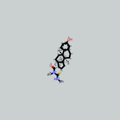 CC(C)NC(=S)N(C(=O)[C@H]1CC[C@H]2[C@@H]3CCc4cc(O)ccc4[C@H]3CC[C@]12C)C(C)C